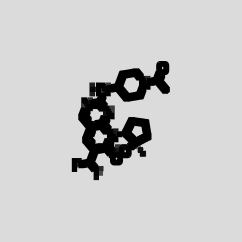 CC(=O)N1CCC(Nc2ncc3cc(C(F)F)c(=O)n([C@@H]4CCC[C@@]4(C)O)c3n2)CC1